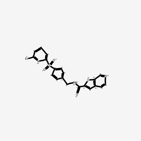 CCc1cccc(S(=O)(=O)c2ccc(CNC(=O)c3cc4ccncc4o3)cc2)n1